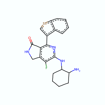 NC1CCCCC1Nc1nc(-c2csc3ccccc23)c2c(c1F)CNC2=O